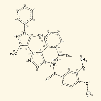 COc1ccc(C(=O)Nc2onc(-c3c(C)nn(-c4ccccc4)c3C)c2-c2ccccc2C(=O)O)cc1OC